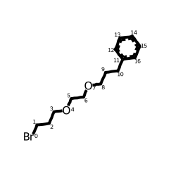 BrCCCOCCOCCCc1ccccc1